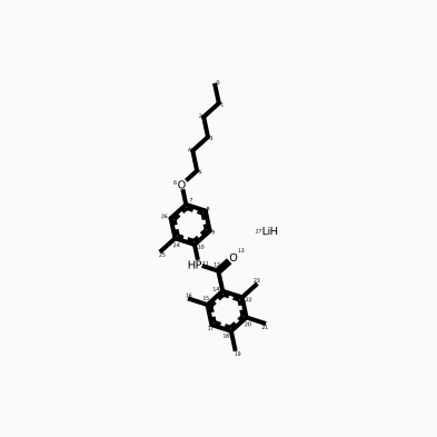 CCCCCCOc1ccc(PC(=O)c2c(C)cc(C)c(C)c2C)c(C)c1.[LiH]